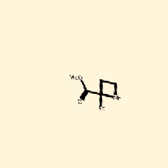 CCC1(C(=O)OC)CCN1